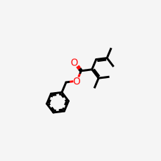 CC(C)=CC(C(=O)OCc1ccccc1)=C(C)C